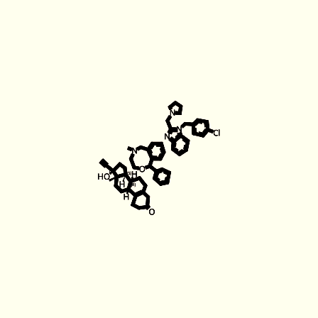 C#C[C@]1(O)CC[C@H]2[C@@H]3CCC4=C(CCC(=O)C4)[C@H]3CC[C@@]21C.CN1CCOC(c2ccccc2)c2ccccc2C1.Clc1ccc(Cn2c(CN3CCCC3)nc3ccccc32)cc1